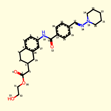 O=C(CC1CCc2ccc(NC(=O)c3ccc(C=NN4CCCCC4)cc3)cc2C1)OCCO